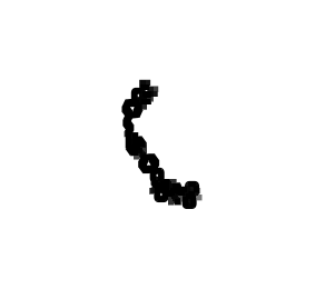 C[C@@]1(COc2ccc(N3CCN(C/C=C/c4ccc(OC(F)(F)F)cc4)CC3)cc2)Cn2cc([N+](=O)[O-])nc2O1